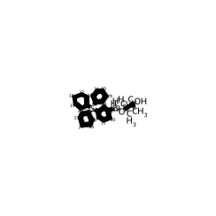 CC(C)(O)C(C)(C)OBc1cccc(S(C2=CCCC=C2)(c2ccccc2)c2ccccc2)c1